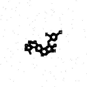 COc1cc2c(cc1-c1c(C)noc1C)ncc1[nH]c(=O)n(Cc3ccc(Cl)cc3F)c12